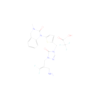 CN1Cc2ccccc2N(c2ccc(Cn3cnn(CC(CN)=C(F)F)c3=O)s2)C1=O.O=C(O)C(F)(F)F